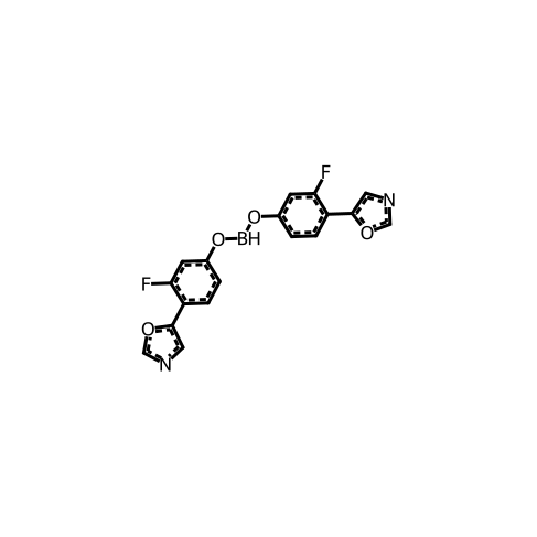 Fc1cc(OBOc2ccc(-c3cnco3)c(F)c2)ccc1-c1cnco1